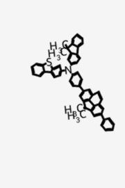 CC1(C)c2ccccc2-c2ccc(N(c3ccc(-c4cc5c6c(ccc7cc(-c8ccccc8)cc(c76)C5(C)C)c4)cc3)c3ccc4c(c3)sc3ccccc34)cc21